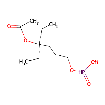 CCC(CC)(CCCO[PH](=O)O)OC(C)=O